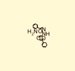 Nc1ccccc1-c1cnc(NC2=COC=C(C3=CC=CCC3)O2)o1